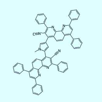 [C-]#[N+]c1c(-c2ccccc2)nc2c(ccc3c(-c4ccccc4)cc(-c4ccccc4)nc32)c1-c1cc(-c2c(C#N)c(-c3ccccc3)nc3c2ccc2c(-c4ccccc4)cc(-c4ccccc4)nc23)n(C)c1